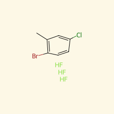 Cc1cc(Cl)ccc1Br.F.F.F